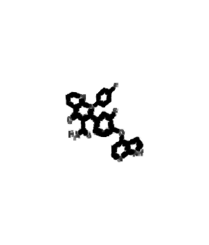 NC(=O)c1c(-c2ccc(Oc3ccnc4[nH]ccc34)c(F)c2)n(-c2ccc(F)cc2)c2ncccc2c1=O